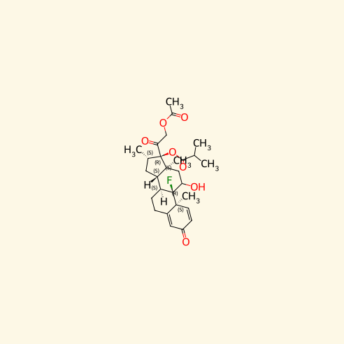 CC(=O)OCC(=O)[C@@]1(OC(=O)C(C)C)[C@@H](C)C[C@H]2[C@@H]3CCC4=CC(=O)C=C[C@]4(C)[C@@]3(F)C(O)C[C@@]21C